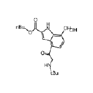 CCCCOC(=O)c1cc2c(C(=O)CNC(C)(C)C)ccc(O)c2[nH]1.Cl